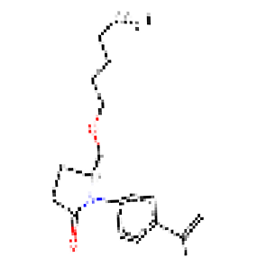 C=C(C)c1ccc(N2C(=O)CC[C@H]2COCCCCC(=O)O)cc1